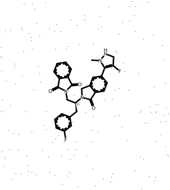 CN1NCC(F)=C1c1ccc2c(c1)CN([C@@H](Cc1cccc(F)c1)CN1C(=O)c3ccccc3C1=O)C2=O